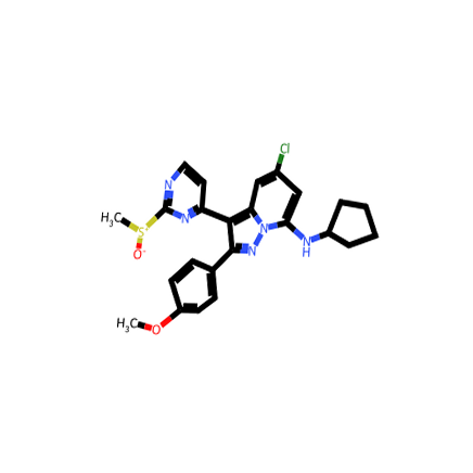 COc1ccc(-c2nn3c(NC4CCCC4)cc(Cl)cc3c2-c2ccnc([S+](C)[O-])n2)cc1